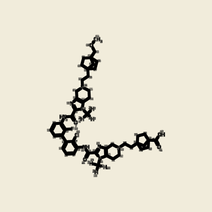 [2H]C([2H])([2H])n1c(C(=O)Nc2cccc(-c3cccc(NC(=O)c4nc5c(n4C([2H])([2H])[2H])CCN(CCC46CCC(C(=O)O)(CC4)C6)C5)c3Cl)c2F)nc2c1CCN(CCC13CCC(COC)(CC1)C3)C2